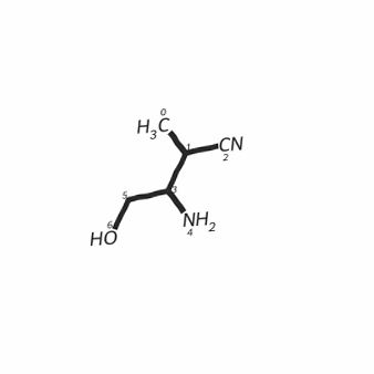 CC(C#N)C(N)CO